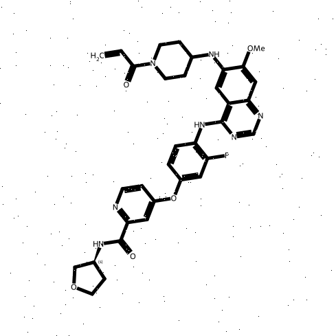 C=CC(=O)N1CCC(Nc2cc3c(Nc4ccc(Oc5ccnc(C(=O)N[C@H]6CCOC6)c5)cc4F)ncnc3cc2OC)CC1